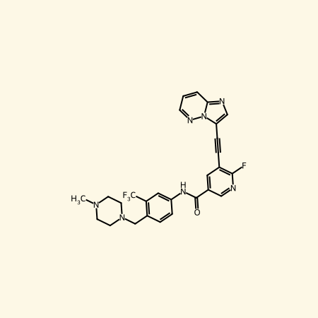 CN1CCN(Cc2ccc(NC(=O)c3cnc(F)c(C#Cc4cnc5cccnn45)c3)cc2C(F)(F)F)CC1